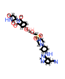 N#Cc1ccc2ncnc(NC3CCC(N4CCN(S(=O)(=O)CCOCBOc5ccc6c(c5)C(=O)N(C5CCC(=O)NC5=O)C6=O)CC4)CC3)c2c1